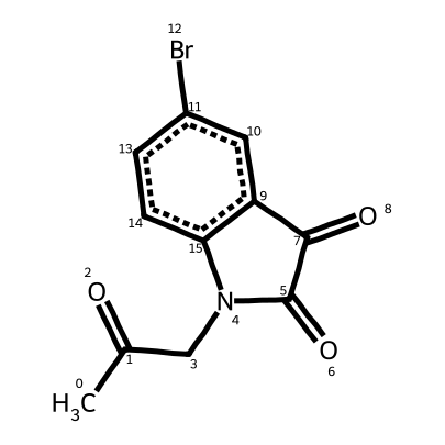 CC(=O)CN1C(=O)C(=O)c2cc(Br)ccc21